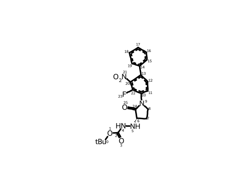 CC(C)(C)OC(=O)NN[C@H]1CCN(c2ccc(-c3ccccc3)c([N+](=O)[O-])c2F)C1=O